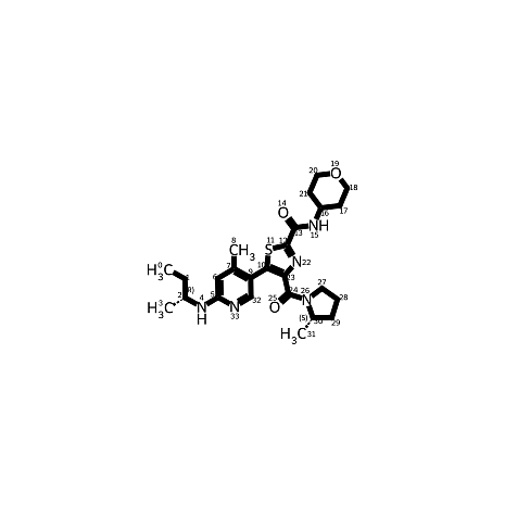 CC[C@@H](C)Nc1cc(C)c(-c2sc(C(=O)NC3CCOCC3)nc2C(=O)N2CCC[C@@H]2C)cn1